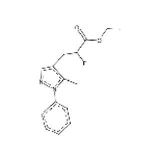 CCOC(=O)C(F)Cc1cnn(-c2ccccc2)c1C